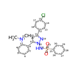 CN(C)c1ccccc1-c1cc(-c2ccc(Cl)cc2)nn1NS(=O)(=O)c1ccccc1